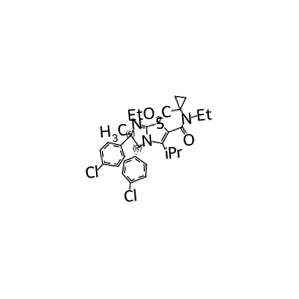 CCOC(=O)C1(N(CC)C(=O)C2=C(C(C)C)N3C(=N[C@@](C)(c4ccc(Cl)cc4)[C@H]3c3ccc(Cl)cc3)S2)CC1